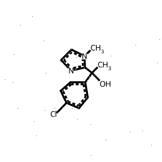 Cn1ccnc1C(C)(O)c1ccc(Cl)cc1